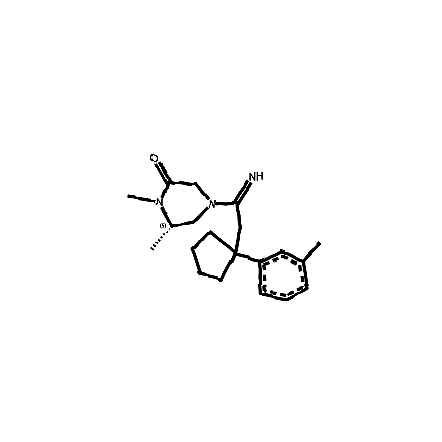 Cc1cccc(C2(CC(=N)N3CC(=O)N(C)[C@@H](C)C3)CCCC2)c1